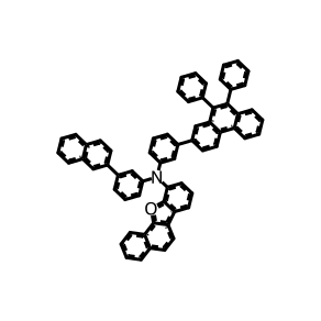 c1ccc(-c2c(-c3ccccc3)c3cc(-c4cccc(N(c5cccc(-c6ccc7ccccc7c6)c5)c5cccc6c5oc5c7ccccc7ccc65)c4)ccc3c3ccccc23)cc1